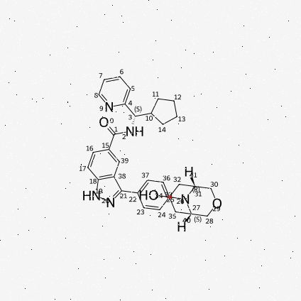 O=C(N[C@H](c1ccccn1)C1CCCC1)c1ccc2[nH]nc(-c3ccc(N4[C@@H]5COC[C@H]4CC(O)C5)cc3)c2c1